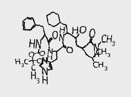 CNC(=O)C(CC(C)C)CC(O)[C@H](CC1CCCCC1)NC(=O)C(Cc1c[nH]cn1)NC(=O)C(Cc1ccccc1)NC(=O)OC(C)(C)C